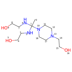 CC(NCCO)(NCCO)N1CCN(CCO)CC1